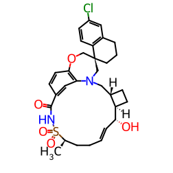 C[C@@H]1CC/C=C/[C@@H](O)[C@@H]2CC[C@H]2CN2C[C@@]3(CCCc4cc(Cl)ccc43)COc3ccc(cc32)C(=O)NS1(=O)=O